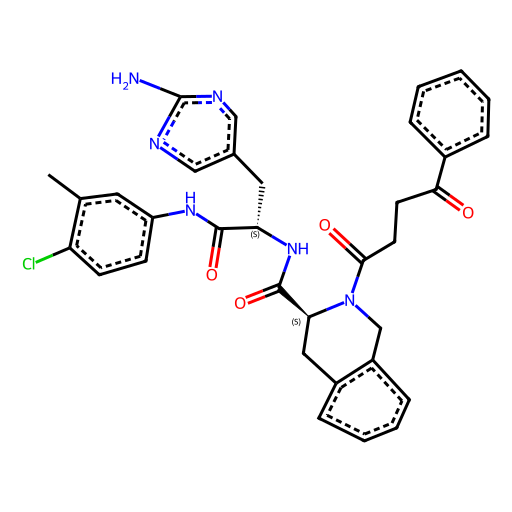 Cc1cc(NC(=O)[C@H](Cc2cnc(N)nc2)NC(=O)[C@@H]2Cc3ccccc3CN2C(=O)CCC(=O)c2ccccc2)ccc1Cl